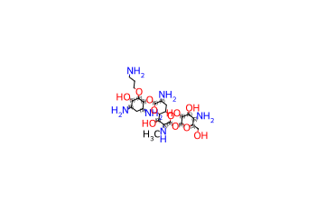 CN[C@@H]1[C@@H](O[C@H]2O[C@H](CO)[C@@H](N)[C@H](O)[C@H]2O)OC2C[C@@H](N)[C@@H](O[C@H]3[C@H](OCCCN)[C@@H](O)[C@H](N)C[C@@H]3N)OC2[C@@H]1O